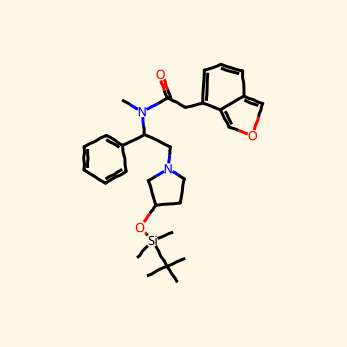 CN(C(=O)Cc1cccc2cocc12)C(CN1CCC(O[Si](C)(C)C(C)(C)C)C1)c1ccccc1